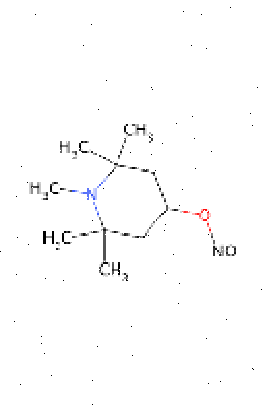 CN1C(C)(C)CC(ON=O)CC1(C)C